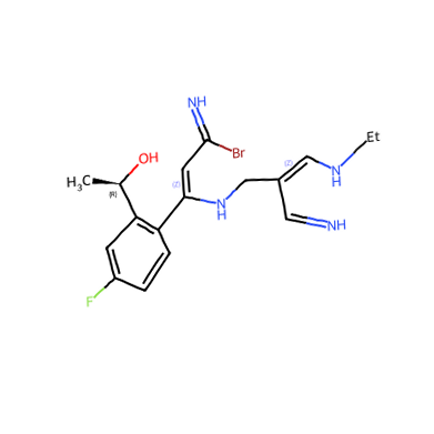 CCN/C=C(\C=N)CN/C(=C\C(=N)Br)c1ccc(F)cc1[C@@H](C)O